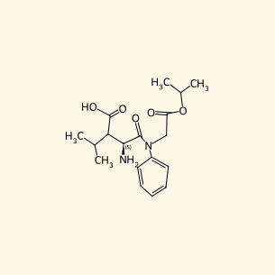 CC(C)OC(=O)CN(C(=O)[C@@H](N)C(C(=O)O)C(C)C)c1ccccc1